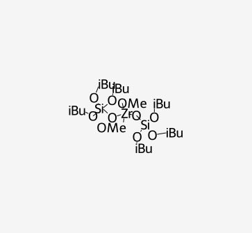 CCC(C)O[Si](OC(C)CC)(OC(C)CC)[O][Zr]([O]C)([O]C)[O][Si](OC(C)CC)(OC(C)CC)OC(C)CC